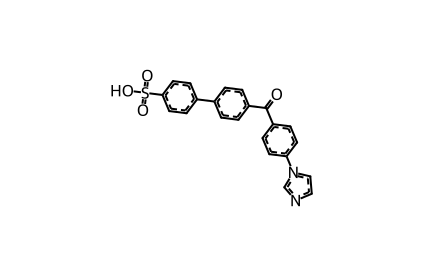 O=C(c1ccc(-c2ccc(S(=O)(=O)O)cc2)cc1)c1ccc(-n2ccnc2)cc1